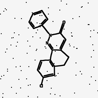 O=c1cc2c(nn1-c1ccccc1)-c1ccc(Cl)cc1CC2